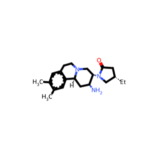 CC[C@H]1CC(=O)N([C@H]2CN3CCc4cc(C)c(C)cc4[C@@H]3C[C@@H]2N)C1